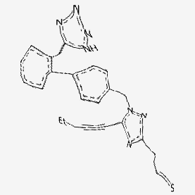 CCC#Cc1nc(CC=S)nn1Cc1ccc(-c2ccccc2-c2nnn[nH]2)cc1